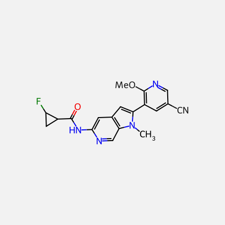 COc1ncc(C#N)cc1-c1cc2cc(NC(=O)C3CC3F)ncc2n1C